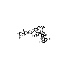 CCc1c(F)ccc2cc(O)cc(-c3ncc4c(N5CCC[C@@](C)(O)C5)nc(OCC5(CN6CCC7(CC6)CCC(F)(CN6CCN(c8cc(F)c(C9CCC(=O)NC9=O)c(F)c8)CC6)CC7)CC5)nc4c3F)c12